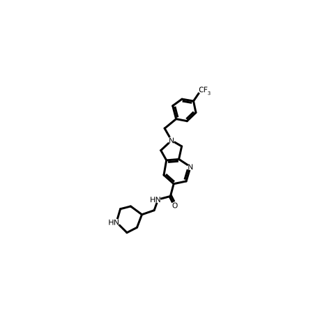 O=C(NCC1CCNCC1)c1cnc2c(c1)CN(Cc1ccc(C(F)(F)F)cc1)C2